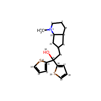 CN1CCCC2CC(CC(O)(c3cccs3)c3cccs3)CC21